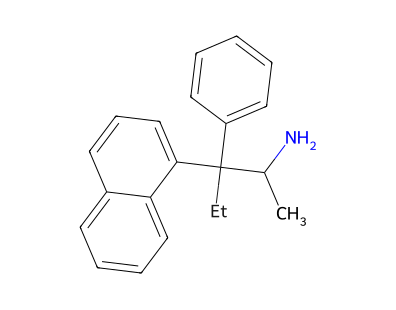 CCC(c1ccccc1)(c1cccc2ccccc12)C(C)N